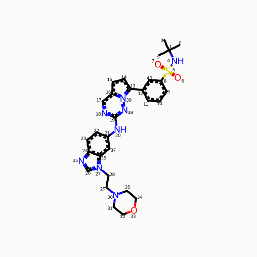 CC(C)(C)NS(=O)(=O)c1cccc(-c2ccc3cnc(Nc4ccc5ncn(CCN6CCOCC6)c5c4)nn23)c1